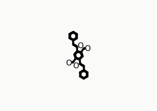 O=C1OC(=Cc2ccccc2)c2cc3c(cc21)C(=Cc1ccccc1)OC3=O